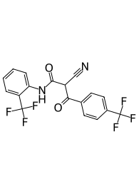 N#CC(C(=O)Nc1ccccc1C(F)(F)F)C(=O)c1ccc(C(F)(F)F)cc1